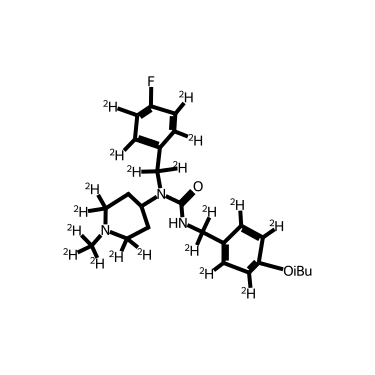 [2H]c1c([2H])c(C([2H])([2H])N(C(=O)NC([2H])([2H])c2c([2H])c([2H])c(OCC(C)C)c([2H])c2[2H])C2CC([2H])([2H])N(C([2H])([2H])[2H])C([2H])([2H])C2)c([2H])c([2H])c1F